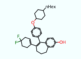 CCCCCCC1CCC(Oc2ccc(C3=C(C4=CCC(F)(F)CC4)CCCc4cc(O)ccc43)cc2)CC1